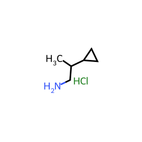 CC(CN)C1CC1.Cl